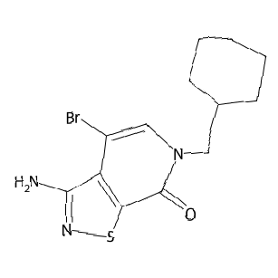 Nc1nsc2c(=O)n(CC3CCCCC3)cc(Br)c12